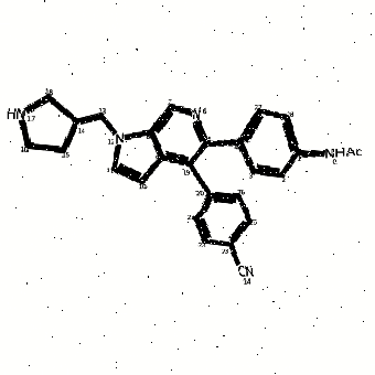 CC(=O)Nc1ccc(-c2ncc3c(ccn3CC3CCNC3)c2-c2ccc(C#N)cc2)cc1